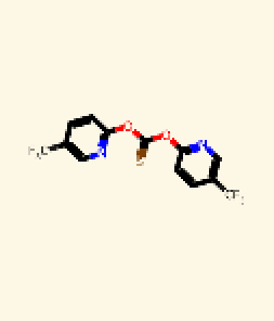 FC(F)(F)c1ccc(OC(=S)Oc2ccc(C(F)(F)F)cn2)nc1